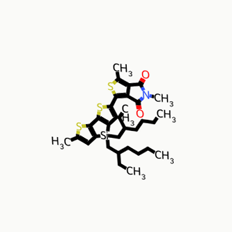 CCCCC(CC)C[Si]1(CC(CC)CCCC)c2cc(C)sc2-c2sc(-c3sc(C)c4c3C(=O)N(C)C4=O)cc21